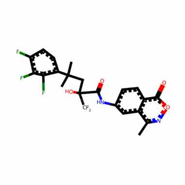 Cc1noc(=O)c2ccc(NC(=O)C(O)(CC(C)(C)c3ccc(F)c(F)c3F)C(F)(F)F)cc12